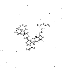 C[Si](C)(C)CCOCn1ccc2cc(Oc3cc(N4CCN([C@@H]5CCCCc6ccccc65)CC4)ccc3C(=O)O)cnc21